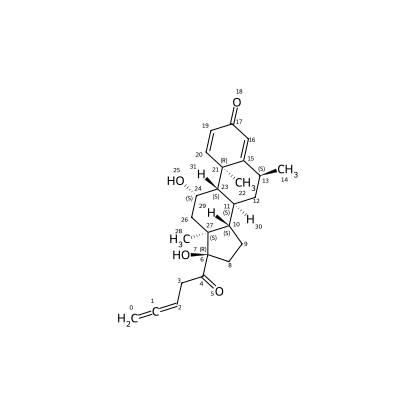 C=C=CCC(=O)[C@@]1(O)CC[C@H]2[C@@H]3C[C@H](C)C4=CC(=O)C=C[C@]4(C)[C@H]3[C@@H](O)C[C@@]21C